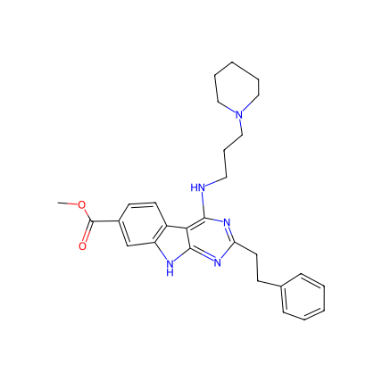 COC(=O)c1ccc2c(c1)[nH]c1nc(CCc3ccccc3)nc(NCCCN3CCCCC3)c12